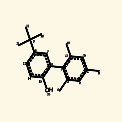 Cc1cc(C)c(-c2cc(C(C)(C)C)ccc2O)c(C)c1